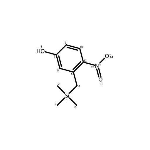 C[Si](C)(C)Cc1cc(O)ccc1[N+](=O)[O-]